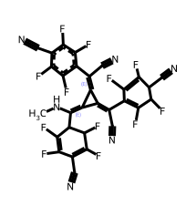 CN/C(=C1/C(=C(C#N)C2=C(F)C(F)C(C#N)C(F)=C2F)/C1=C(\C#N)c1c(F)c(F)c(C#N)c(F)c1F)C1C(F)=C(F)C(C#N)=C(F)C1F